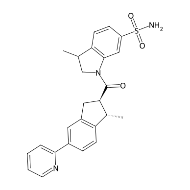 CC1CN(C(=O)[C@@H]2Cc3cc(-c4ccccn4)ccc3[C@H]2C)c2cc(S(N)(=O)=O)ccc21